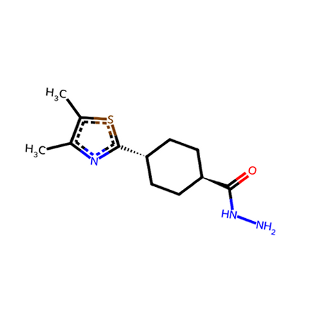 Cc1nc([C@H]2CC[C@H](C(=O)NN)CC2)sc1C